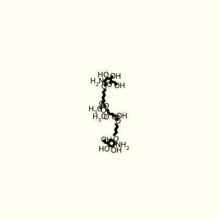 COC(COP(O)OCCCCCOC1CC(CO)C(O)C(O)C1N)COP(C)(=O)OCCCCCOC1OC(CO)C(O)C(O)C1N